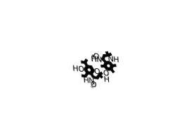 CCc1c(O)c(C(C)C)cc2c1C(NOC)CC(C)(C)O2.CONC1CC(C)(C)Nc2c(C)c(C)c(O)c(C)c21